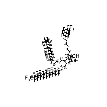 OC(CCCCCCCC(F)(F)C(F)(F)C(F)(F)C(F)(F)F)C(O)(CCCCCC(F)(F)C(F)(F)C(F)(F)C(F)(F)C(F)(F)C(F)(F)C(F)(F)C(F)(F)C(F)(F)C(F)(F)F)C(O)CCCCCCC(F)(F)C(F)(F)C(F)(F)C(F)(F)C(F)(F)C(F)(F)C(F)(F)C(F)(F)F